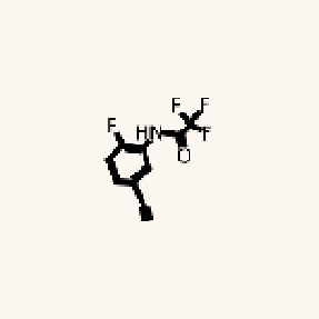 C#Cc1ccc(F)c(NC(=O)C(F)(F)F)c1